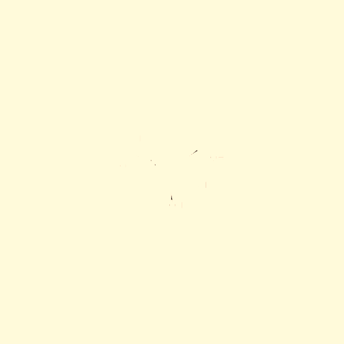 CC(=O)N1C[C@@H](CO)[C@H](O)[C@@H](O)C1